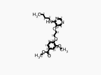 CCCCNc1ncncc1OCCOc1ccc(C(=O)OC)cc1OC